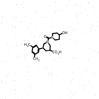 Cc1cc(C)cc(C2CC(C(=O)O)CN(C(=O)N3CCC(O)CC3)C2)c1